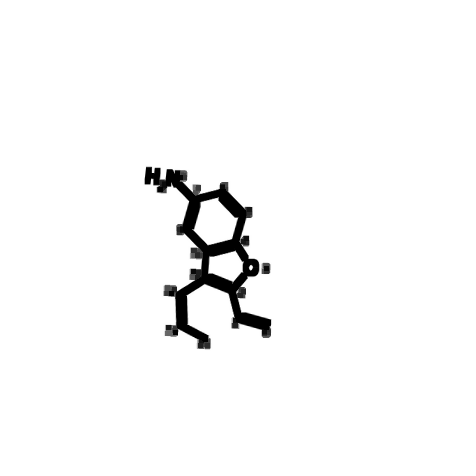 C=Cc1oc2ccc(N)cc2c1/C=C\C